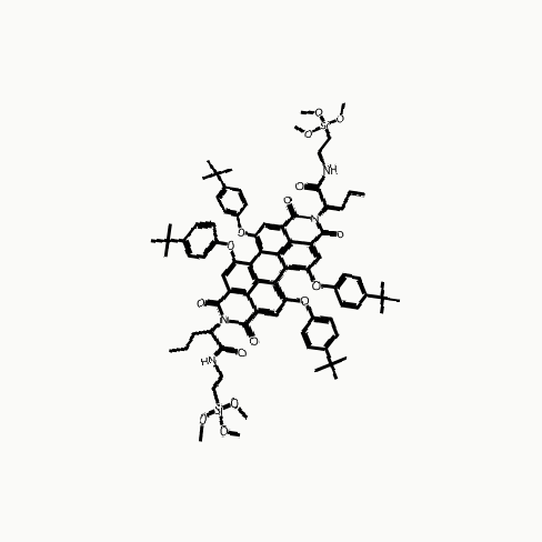 CCCC(C(=O)NCC[Si](OC)(OC)OC)N1C(=O)c2cc(Oc3ccc(C(C)(C)C)cc3)c3c4c(Oc5ccc(C(C)(C)C)cc5)cc5c6c(cc(Oc7ccc(C(C)(C)C)cc7)c(c7c(Oc8ccc(C(C)(C)C)cc8)cc(c2c37)C1=O)c64)C(=O)N(C(CCC)C(=O)NCC[Si](OC)(OC)OC)C5=O